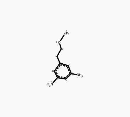 CCCOCCc1cc(N)cc(N)c1